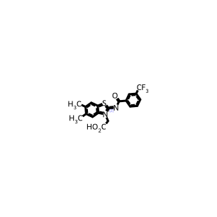 Cc1cc2s/c(=N\C(=O)c3cccc(C(F)(F)F)c3)n(CC(=O)O)c2cc1C